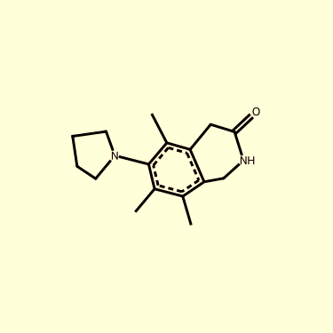 Cc1c(C)c(N2CCCC2)c(C)c2c1CNC(=O)C2